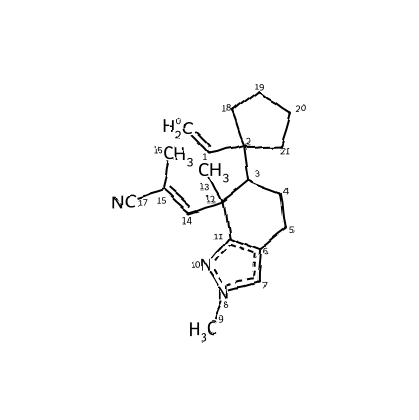 C=CC1(C2CCc3cn(C)nc3C2(C)/C=C(\C)C#N)CCCC1